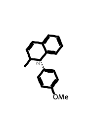 COc1ccc([C@H]2c3ccccc3C=CC2C)cc1